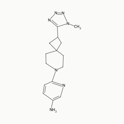 Cn1nnnc1C1CC2(CCN(c3ccc(N)cn3)CC2)C1